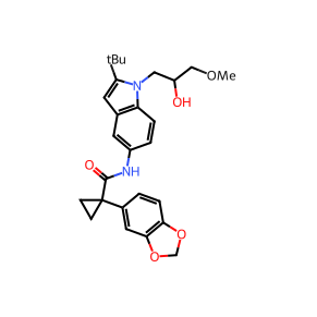 COCC(O)Cn1c(C(C)(C)C)cc2cc(NC(=O)C3(c4ccc5c(c4)OCO5)CC3)ccc21